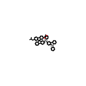 CC(C)Cc1ccc2c(c1)C1(c3ccccc3-c3ccc(N(c4ccccc4)c4ccc5c(c4)c4ccccc4n5-c4ccccc4)cc31)c1cc(CC(C)C)ccc1-2